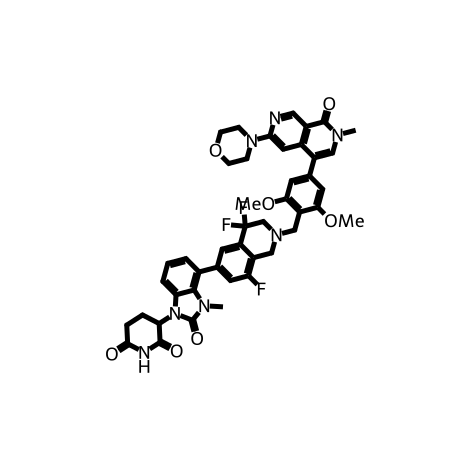 COc1cc(-c2cn(C)c(=O)c3cnc(N4CCOCC4)cc23)cc(OC)c1CN1Cc2c(F)cc(-c3cccc4c3n(C)c(=O)n4C3CCC(=O)NC3=O)cc2C(F)(F)C1